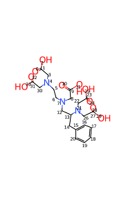 O=C(O)CN(CCN(CC(=O)O)CC(Cc1ccccc1)N(CC(=O)O)CC(=O)O)CC(=O)O